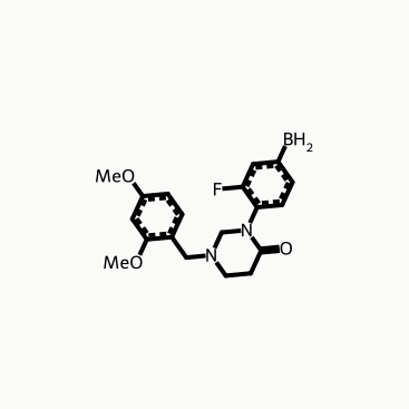 Bc1ccc(N2CN(Cc3ccc(OC)cc3OC)CCC2=O)c(F)c1